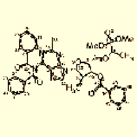 COP(=O)(OC)C(C)OC[C@H]1O[C@@H](n2cnc3c(N(C(=O)c4ccccc4)C(=O)c4ccccc4)nc(I)nc32)[C@H](C)[C@@H]1OC(=O)c1ccccc1